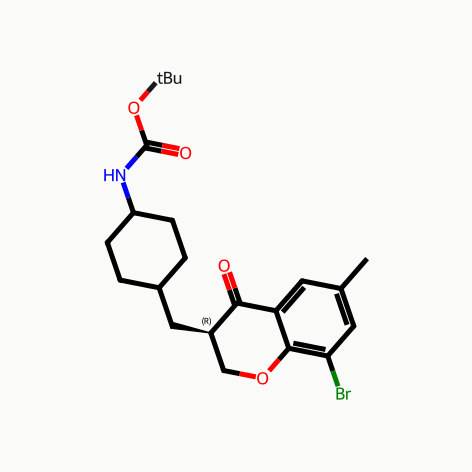 Cc1cc(Br)c2c(c1)C(=O)[C@H](CC1CCC(NC(=O)OC(C)(C)C)CC1)CO2